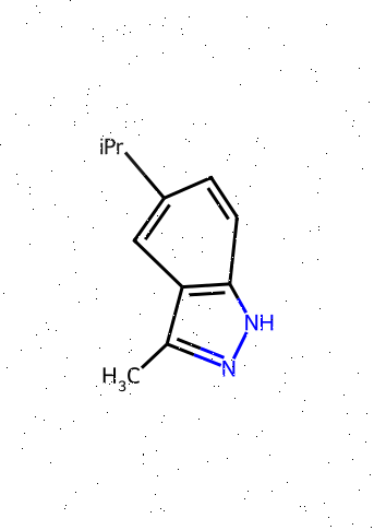 Cc1n[nH]c2ccc(C(C)C)cc12